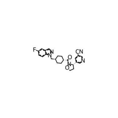 N#Cc1cncc([C@@H]2CCON2C(=O)[C@H]2CC[C@H](Cn3ncc4cc(F)ccc43)CC2)c1